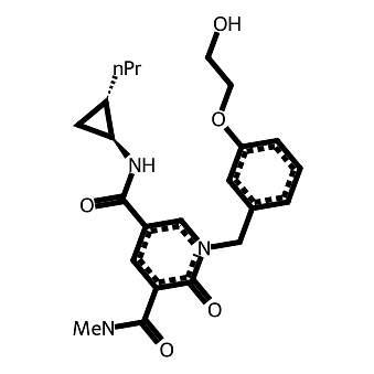 CCC[C@H]1C[C@@H]1NC(=O)c1cc(C(=O)NC)c(=O)n(Cc2cccc(OCCO)c2)c1